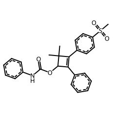 CC1(C)C(c2ccc(S(C)(=O)=O)cc2)=C(c2ccccc2)C1OC(=O)Nc1ccccc1